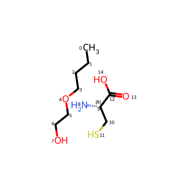 CCCCOCCO.N[C@@H](CS)C(=O)O